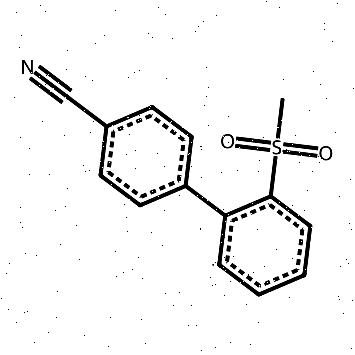 CS(=O)(=O)c1ccc[c]c1-c1ccc(C#N)cc1